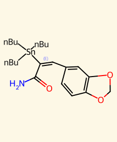 CCC[CH2][Sn]([CH2]CCC)([CH2]CCC)/[C](=C/c1ccc2c(c1)OCO2)C(N)=O